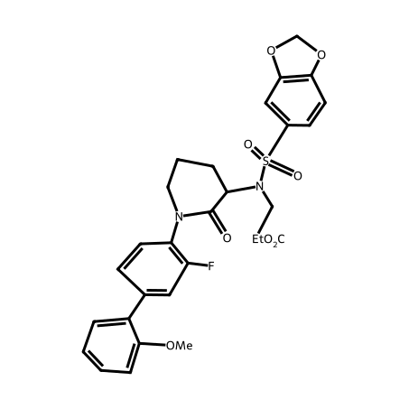 CCOC(=O)CN(C1CCCN(c2ccc(-c3ccccc3OC)cc2F)C1=O)S(=O)(=O)c1ccc2c(c1)OCO2